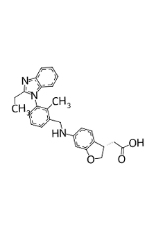 CCc1nc2ccccc2n1-c1cccc(CNc2ccc3c(c2)OC[C@H]3CC(=O)O)c1C